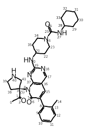 CC(=O)[C@]1(n2c(=O)c(-c3ccccc3C)cc3cnc(NC4CCN(C(=O)NC5CCCCC5)CC4)nc32)CCNC1